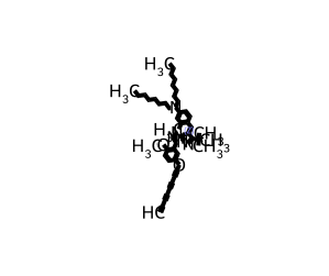 C#CC#CC#CC#COc1ccc(OC)c(-c2nnc3/c(=C\c4ccc(N(CCCCCCCC)CCCCCCCC)cc4C)c(C(C)(C)C)nn23)c1